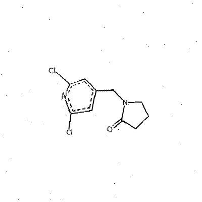 O=C1CCCN1Cc1cc(Cl)nc(Cl)c1